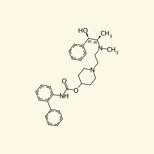 C[C@H]([C@H](O)c1ccccc1)N(C)CCN1CCC(OC(=O)Nc2ccccc2-c2ccccc2)CC1